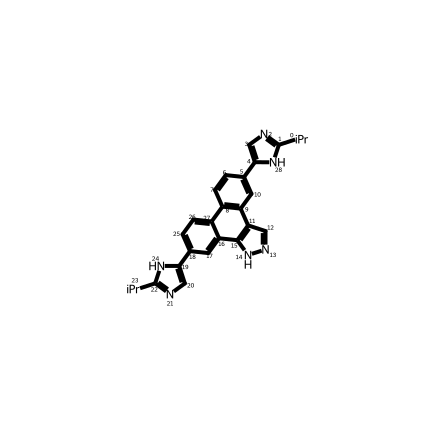 CC(C)c1ncc(-c2ccc3c(c2)c2cn[nH]c2c2cc(-c4cnc(C(C)C)[nH]4)ccc32)[nH]1